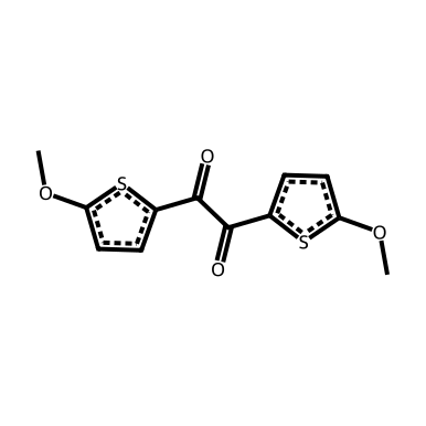 COc1ccc(C(=O)C(=O)c2ccc(OC)s2)s1